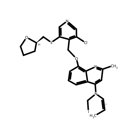 C/C=C\N(CI)c1cc(C)nc2c(OCc3c(Cl)cncc3SC[C@H]3CCCO3)cccc12